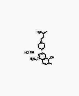 Cc1ccc2c(c1O)C[C@@H](C1CCN(CCC(C)N)CC1)O[C@H]2CN.Cl.Cl